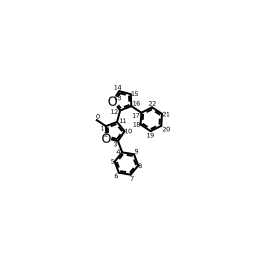 Cc1oc(-c2ccccc2)cc1-c1occc1-c1ccccc1